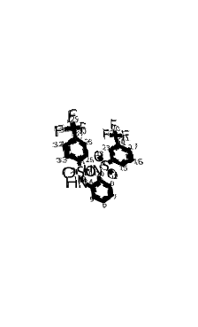 O=S(=O)(Nc1ccccc1NS(=O)(=O)c1cccc(C(F)(F)F)c1)c1ccc(C(F)(F)F)cc1